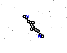 c1ccc2ncc(-c3ccc4cc5c(cc4c3)c3cccc4c6cc7c8ccc(-c9cnc%10ccccc%10c9)cc8c8cccc(c6cc5c34)c87)cc2c1